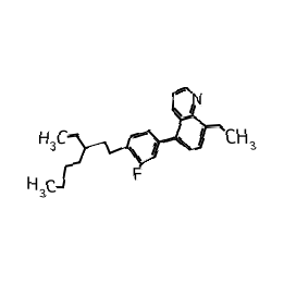 CCCCC(CC)CCc1ccc(-c2ccc(CC)c3ncccc23)cc1F